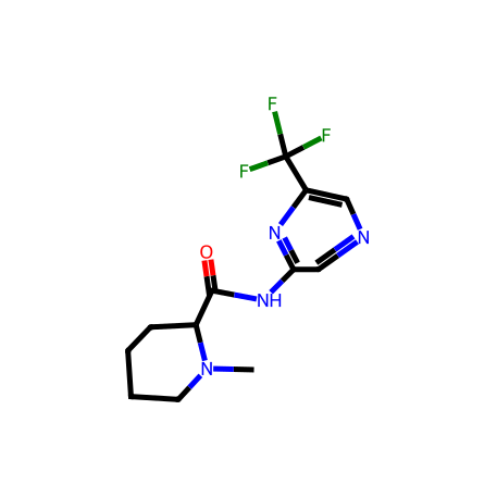 CN1CCCCC1C(=O)Nc1cncc(C(F)(F)F)n1